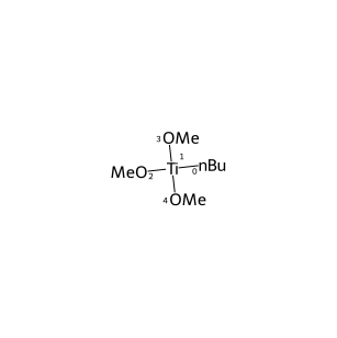 CCC[CH2][Ti]([O]C)([O]C)[O]C